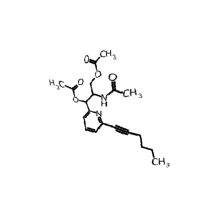 CCCCC#Cc1cccc(C(OC(C)=O)C(COC(C)=O)NC(C)=O)n1